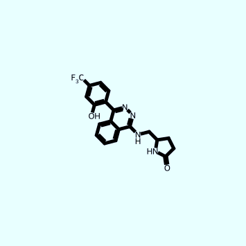 O=C1CCC(CNc2nnc(-c3ccc(C(F)(F)F)cc3O)c3ccccc23)N1